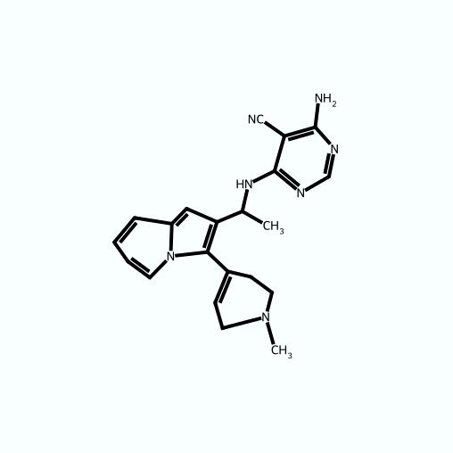 CC(Nc1ncnc(N)c1C#N)c1cc2ccccn2c1C1=CCN(C)CC1